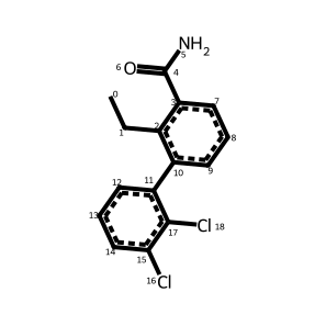 CCc1c(C(N)=O)cccc1-c1cccc(Cl)c1Cl